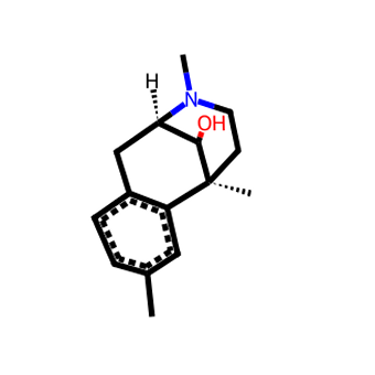 Cc1ccc2c(c1)[C@]1(C)CCN(C)[C@H](C2)C1O